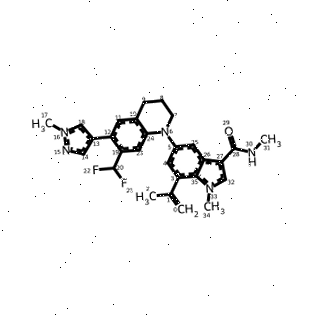 C=C(C)c1cc(N2CCCc3cc(-c4cnn(C)c4)c(C(F)F)cc32)cc2c(C(=O)NC)cn(C)c12